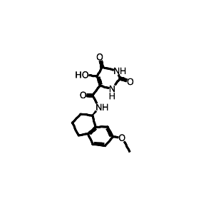 COc1ccc2c(c1)[C@H](NC(=O)c1[nH]c(=O)[nH]c(=O)c1O)CCC2